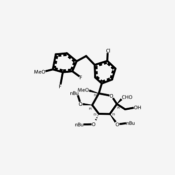 CCCCO[C@@H]1[C@@H](OCCCC)[C@](OC)(c2ccc(Cl)c(Cc3ccc(OC)c(F)c3F)c2)O[C@](C=O)(CO)[C@H]1OCCCC